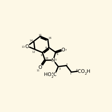 O=C(O)CCC(C(=O)O)N1C(=O)C2=C(C1=O)C1OC1C=C2